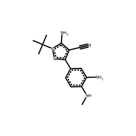 CNc1ccc(-c2nn(C(C)(C)C)c(N)c2C#N)cc1N